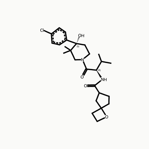 CC(C)[C@@H](NC(=O)C1CCC2(CCO2)C1)C(=O)N1CC[C@](O)(c2ccc(Cl)cc2)C(C)(C)C1